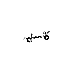 O=[N+]([O-])c1ccccc1OCCCCCNc1cc(Br)ccn1